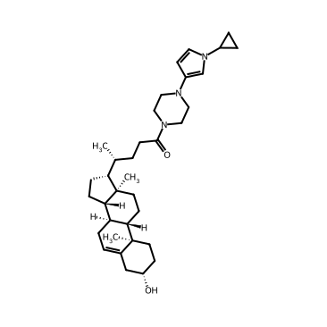 C[C@H](CCC(=O)N1CCN(c2ccn(C3CC3)c2)CC1)[C@H]1CC[C@H]2[C@@H]3CC=C4C[C@@H](O)CC[C@]4(C)[C@H]3CC[C@]12C